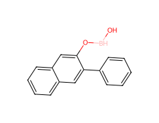 OBOc1cc2ccccc2cc1-c1ccccc1